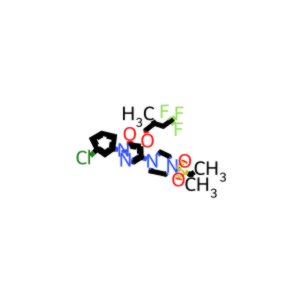 CC(COc1c(N2CCN(S(=O)(=O)C(C)C)CC2)cnn(-c2cccc(Cl)c2)c1=O)CC(F)(F)F